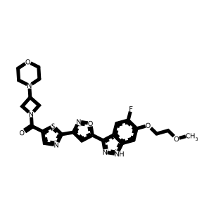 COCCOc1cc2[nH]nc(-c3cc(-c4ncc(C(=O)N5CC(N6CCOCC6)C5)s4)no3)c2cc1F